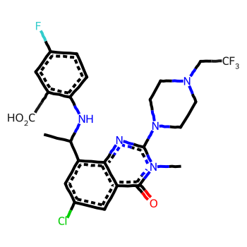 CC(Nc1ccc(F)cc1C(=O)O)c1cc(Cl)cc2c(=O)n(C)c(N3CCN(CC(F)(F)F)CC3)nc12